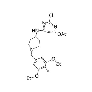 CCOc1cc(CN2CCC(Nc3cc(OC(C)=O)nc(Cl)n3)CC2)cc(OCC)c1F